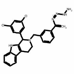 C=C(/N=N\NN)c1cccc(CN2CCc3c([nH]c4ccccc34)C2c2cc(Cl)cc(Cl)c2)c1